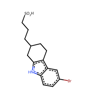 O=S(=O)(O)CCCC1CCc2c([nH]c3ccc(Br)cc23)C1